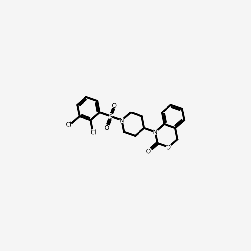 O=C1OCc2ccccc2N1C1CCN(S(=O)(=O)c2cccc(Cl)c2Cl)CC1